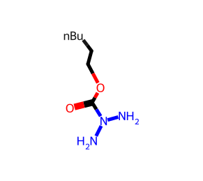 [CH2]CCCCCOC(=O)N(N)N